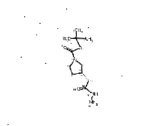 CC(C)(C)OC(=O)N1CC[C@@H](CC(=O)NN)C1